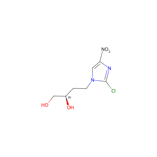 O=[N+]([O-])c1cn(CC[C@@H](O)CO)c(Cl)n1